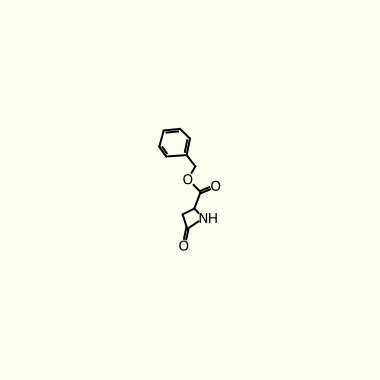 O=C1CC(C(=O)OCc2ccccc2)N1